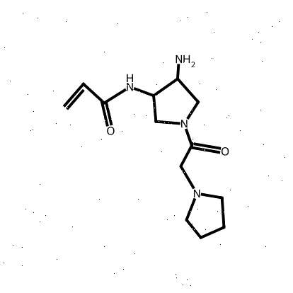 C=CC(=O)NC1CN(C(=O)CN2CCCC2)CC1N